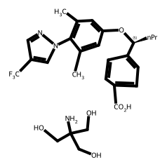 CCC[C@H](Oc1cc(C)c(-n2cc(C(F)(F)F)cn2)c(C)c1)c1ccc(C(=O)O)cc1.NC(CO)(CO)CO